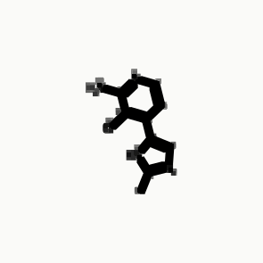 Cc1ncc(-c2ccnc(N)c2Cl)[nH]1